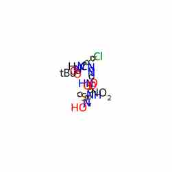 CC1(CN2CCN(C(=O)OC(C)(C)C)CC2)CCC(c2ccc(Cl)cc2)=C(CN2CCN(c3ccc(C(=O)NS(=O)(=O)c4ccc(N[C@H](CCN(CCO)C5CC5)CSc5ccccc5)c([N+](=O)[O-])c4)cc3)CC2)C1